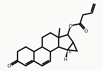 C=CCC(=O)OC1C2C[C@@H]2C2C3C=CC4=CC(=O)CCC4C3CCC12C